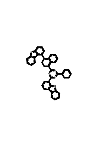 C1=CCCC(c2nc(C3=c4ccccc4=C(c4cccc5oc6ccccc6c45)CC3)nc(-c3cccc4c3sc3ccccc34)n2)=C1